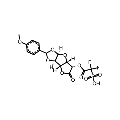 COc1ccc(C2O[C@H]3O[C@H]4[C@H](OC(=O)[C@H]4OC(=O)C(F)(F)S(=O)(=O)O)[C@H]3O2)cc1